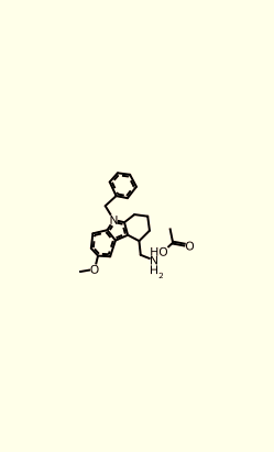 CC(=O)O.COc1ccc2c(c1)c1c(n2Cc2ccccc2)CCCC1CN